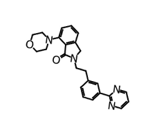 O=C1c2c(cccc2N2CCOCC2)CN1CCc1cccc(-c2ncccn2)c1